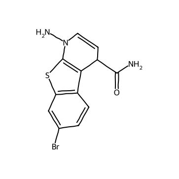 NC(=O)C1C=CN(N)c2sc3cc(Br)ccc3c21